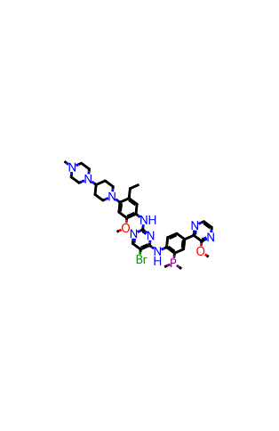 CCc1cc(Nc2ncc(Br)c(Nc3ccc(-c4nccnc4OC)cc3P(C)C)n2)c(OC)cc1N1CCC(N2CCN(C)CC2)CC1